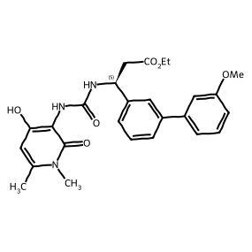 CCOC(=O)C[C@H](NC(=O)Nc1c(O)cc(C)n(C)c1=O)c1cccc(-c2cccc(OC)c2)c1